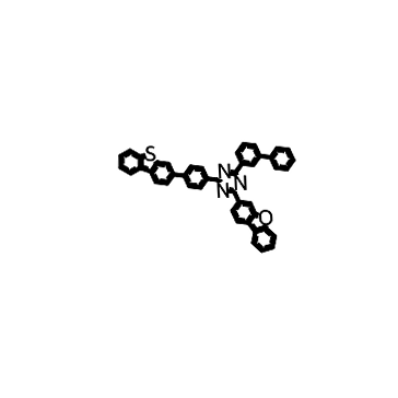 c1ccc(-c2cccc(-c3nc(-c4ccc(-c5ccc6c(c5)sc5ccccc56)cc4)nc(-c4ccc5c(c4)oc4ccccc45)n3)c2)cc1